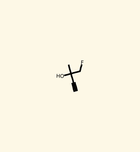 C#CC(C)(O)CF